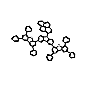 c1ccc(-c2cc(-c3ccccc3)c3oc4c(-c5ccc6c(c5)c5cc(-c7cc(-c8ccccc8)cc8c7oc7c(-c9ccccc9)cc(-c9ccccc9)cc78)ccc5n6-c5ccc6ccc7cccc8ccc5c6c78)cc(-c5ccccc5)cc4c3c2)cc1